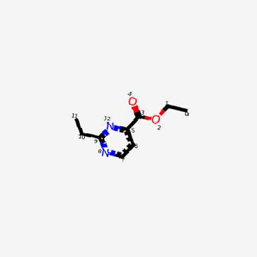 CCOC(=O)c1ccnc(CC)n1